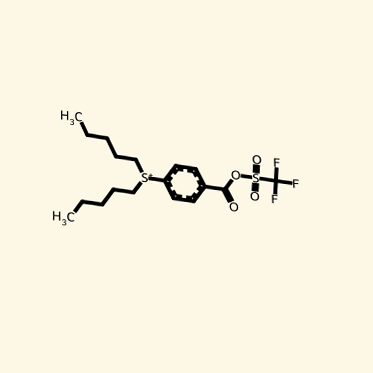 CCCCC[S+](CCCCC)c1ccc(C(=O)OS(=O)(=O)C(F)(F)F)cc1